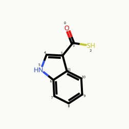 O=C(S)c1c[nH]c2ccccc12